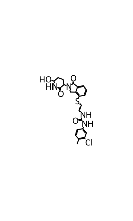 Cc1ccc(NC(=O)NCCSc2cccc3c2CN(C2CCC(O)NC2=O)C3=O)cc1Cl